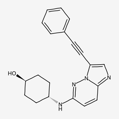 O[C@H]1CC[C@H](Nc2ccc3ncc(C#Cc4ccccc4)n3n2)CC1